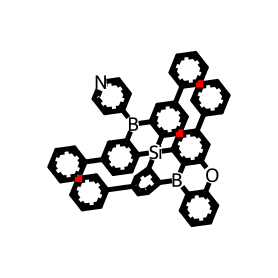 c1ccc(-c2ccc3c(c2)B(c2ccncc2)c2cc(-c4ccccc4)ccc2[Si]32c3cc(-c4ccccc4)ccc3B3c4ccccc4Oc4cc(-c5ccccc5)cc2c43)cc1